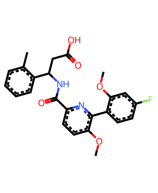 COc1cc(F)ccc1-c1nc(C(=O)NC(CC(=O)O)c2ccccc2C)ccc1OC